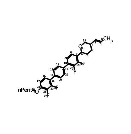 C/C=C/C1CCC(c2ccc(-c3ccc(-c4ccc(OCCCCC)c(F)c4F)cc3)c(F)c2F)OC1